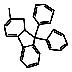 IC1=CC=C2c3ccccc3C(c3ccccc3)(c3ccccc3)C2C1